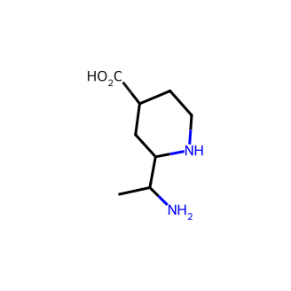 CC(N)C1CC(C(=O)O)CCN1